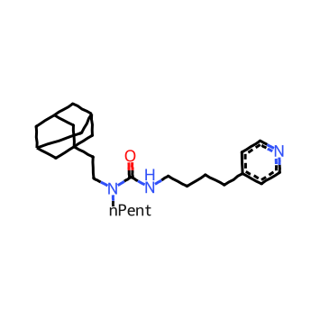 CCCCCN(CCC12CC3CC(CC(C3)C1)C2)C(=O)NCCCCc1ccncc1